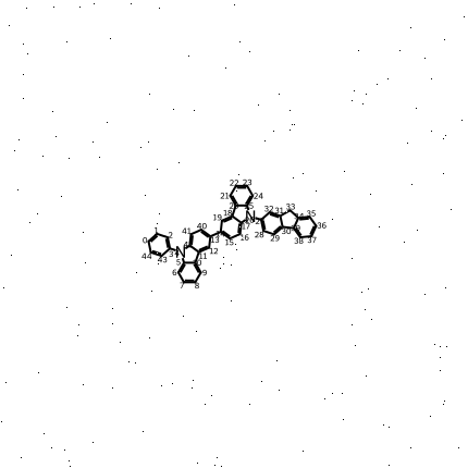 c1ccc(-n2c3ccccc3c3cc(-c4ccc5c(c4)c4ccccc4n5-c4ccc5c(c4)Cc4ccccc4-5)ccc32)cc1